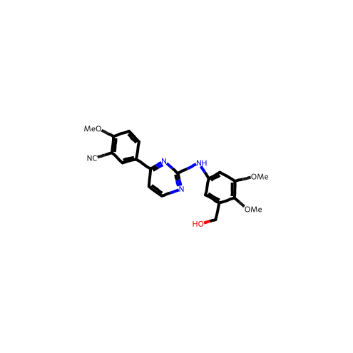 COc1ccc(-c2ccnc(Nc3cc(CO)c(OC)c(OC)c3)n2)cc1C#N